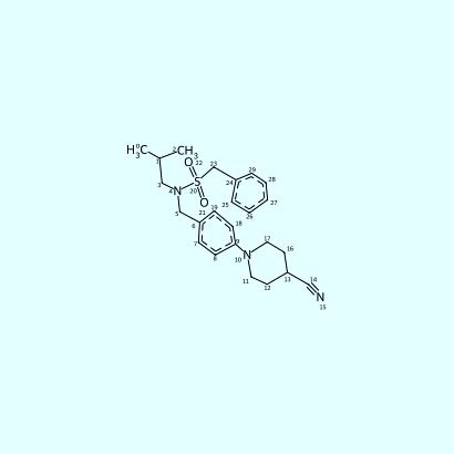 CC(C)CN(Cc1ccc(N2CCC(C#N)CC2)cc1)S(=O)(=O)Cc1ccccc1